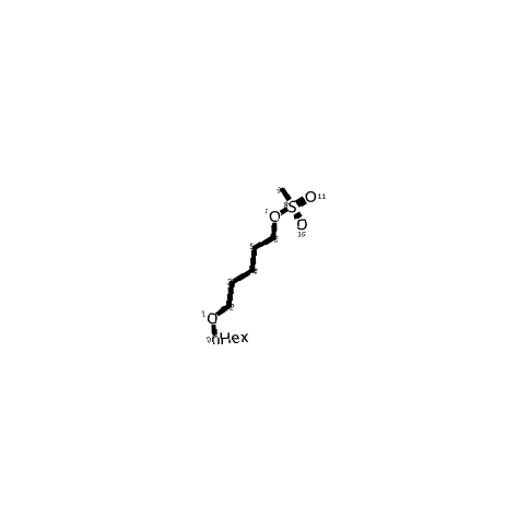 CCCCCCOCCCCCOS(C)(=O)=O